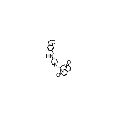 O=c1ccc2ccc(=O)n3c2n1C[C@H]3CN1CCC(NCc2ccc3c(c2)OCC3)CC1